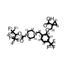 O=C(OC(C(F)(F)F)C(F)(F)F)N1CCN(Cc2ccc(C(F)(F)F)cc2OCC2(C(=O)O)CC2)CC1